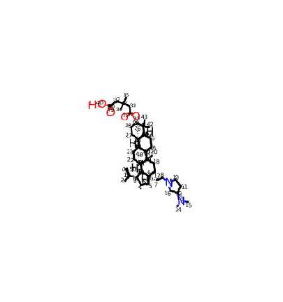 C=C(C)[C@@H]1CC[C@]2(CCN3CCC(N(C)C)C3)CC[C@]3(C)[C@H](CC[C@@H]4[C@@]5(C)CC[C@H](OC(=O)CC(C)(C)CC(=O)O)C(C)(C)[C@@H]5CC[C@]43C)[C@@H]12